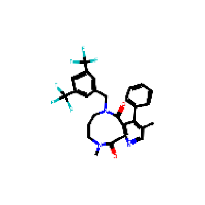 Cc1cnc2c(c1-c1ccccc1)C(=O)N(Cc1cc(C(F)(F)F)cc(C(F)(F)F)c1)CCCN(C)C2=O